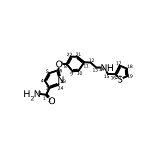 NC(=O)c1ccc(Oc2ccc(CCNCc3cccs3)cc2)nc1